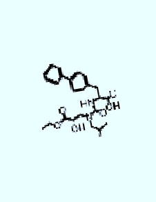 CCOC(=O)[C@@H](O)CN(CC(C)C)C(=O)N[C@@H](Cc1ccc(-c2ccccc2)cc1)C(=O)O